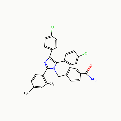 NC(=O)c1ccc(Cn2c(-c3ccc(C(F)(F)F)cc3C(F)(F)F)nc(-c3ccc(Cl)cc3)c2-c2ccc(Cl)cc2)cc1